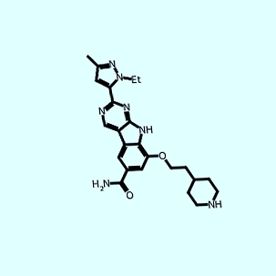 CCn1nc(C)cc1-c1ncc2c(n1)[nH]c1c(OCCC3CCNCC3)cc(C(N)=O)cc12